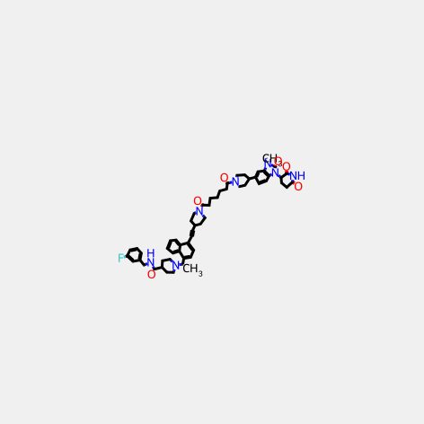 CC(c1ccc(C#CC2CCN(C(=O)CCCCCC(=O)N3CCC(c4ccc5c(c4)n(C)c(=O)n5C4CCC(=O)NC4=O)CC3)CC2)c2ccccc12)N1CCC(C(=O)NCc2cccc(F)c2)CC1